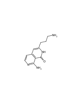 NCCCc1cc2ccnc(N)c2c(=O)[nH]1